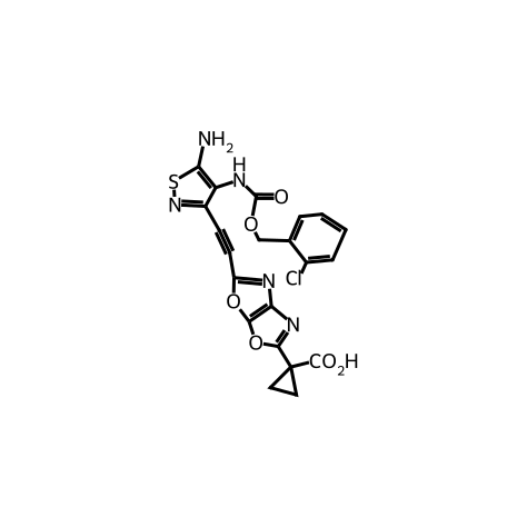 Nc1snc(C#Cc2nc3nc(C4(C(=O)O)CC4)oc3o2)c1NC(=O)OCc1ccccc1Cl